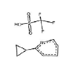 O=S(=O)(O)C(F)(F)F.c1ccc(C2CC2)nc1